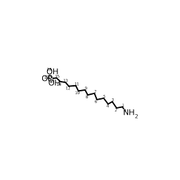 NCCCCCCCCCCCCCCCP(=O)(O)O